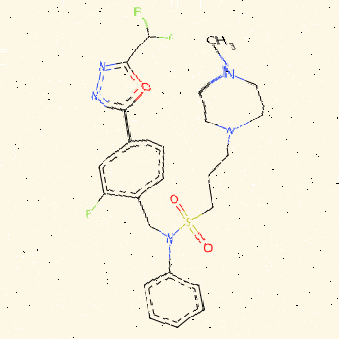 CN1CCN(CCCS(=O)(=O)N(Cc2ccc(-c3nnc(C(F)F)o3)cc2F)c2ccccc2)CC1